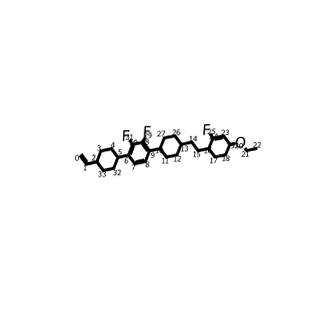 C=CC1CCC(c2ccc(C3CCC(CCC4CCC(OCC)C=C4F)CC3)c(F)c2F)CC1